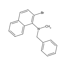 CN(Cc1ccccc1)c1c(Br)ccc2ccccc12